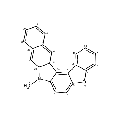 CN1c2ccc3oc4ccccc4c3c2C2C=c3ccccc3=CC21